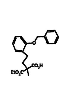 CCOC(=O)C(C)(CCc1ccccc1OCc1ccccc1)C(=O)O